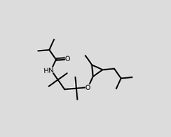 CC(C)CC1C(C)C1OC(C)(C)CC(C)(C)NC(=O)C(C)C